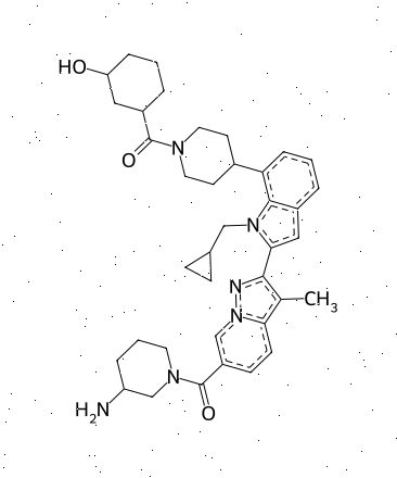 Cc1c(-c2cc3cccc(C4CCN(C(=O)C5CCCC(O)C5)CC4)c3n2CC2CC2)nn2cc(C(=O)N3CCCC(N)C3)ccc12